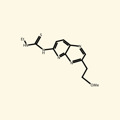 CCNC(=S)Nc1ccc2ncc(CCOC)nc2n1